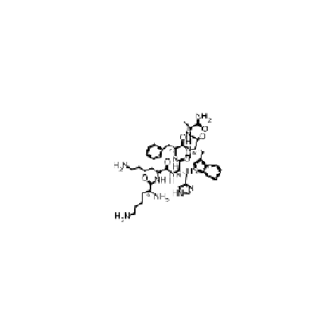 C[C@H](NC(=O)[C@H](Cc1c[nH]c2ccccc12)NC(=O)[C@H](Cc1ccccc1)NC(=O)[C@H](Cc1c[nH]cn1)NC(=O)[C@H](CCCCN)NC(=O)[C@@H](N)CCCCN)C(N)=O